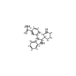 NC(=O)c1ccnc(N2c3ccccc3NC2C2CCCNC2)n1